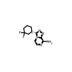 Nc1nccn2c([C@H]3CCCC(F)(F)C3)nnc12